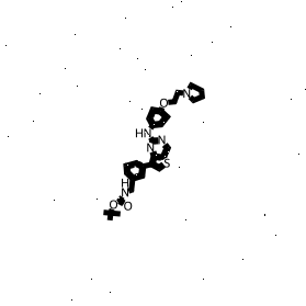 CC(C)(C)OC(=O)NCc1cccc(-c2csc3cnc(Nc4ccc(OCCN5CCCC5)cc4)nc23)c1